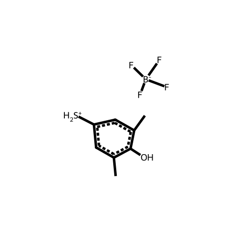 Cc1cc([SH2+])cc(C)c1O.F[B-](F)(F)F